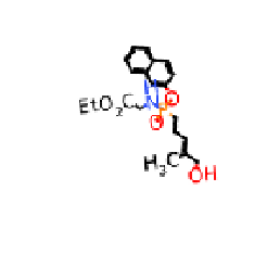 CCOC(=O)CNP(=O)(CC/C=C(\C)CO)Oc1ccc2ccccc2c1